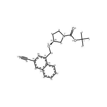 CC(C)(C)OC(=O)N1CC[C@H](OCc2nc(C#N)cc3ccccc23)C1